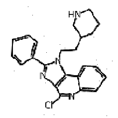 Clc1nc2ccccc2c2c1nc(-c1ccccc1)n2CCC1CCCNC1